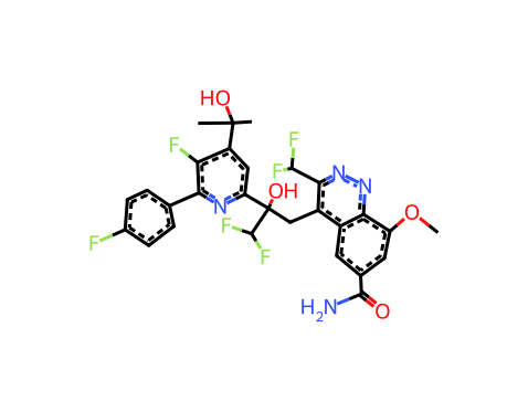 COc1cc(C(N)=O)cc2c(CC(O)(c3cc(C(C)(C)O)c(F)c(-c4ccc(F)cc4)n3)C(F)F)c(C(F)F)nnc12